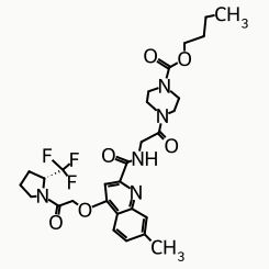 CCCCOC(=O)N1CCN(C(=O)CNC(=O)c2cc(OCC(=O)N3CCC[C@@H]3C(F)(F)F)c3ccc(C)cc3n2)CC1